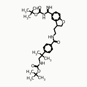 CC(C)(C)OC(=O)NCC(C)(C)c1ccc(C(=O)NCCC2COc3ccc(C(=N)NC(=O)OC(C)(C)C)cc32)cc1